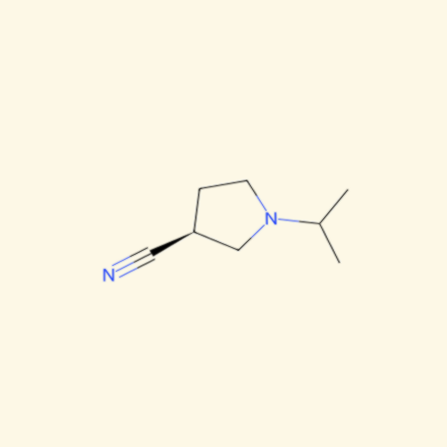 CC(C)N1CC[C@H](C#N)C1